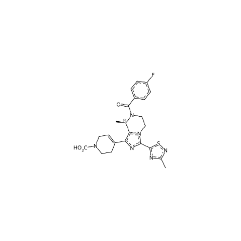 Cc1nsc(-c2nc(C3=CCN(C(=O)O)CC3)c3n2CCN(C(=O)c2ccc(F)cc2)[C@@H]3C)n1